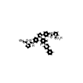 CC(C)(C)OC(=O)N1CCC[C@H]1C(=O)Nc1ccc([C@@H]2CC[C@@H](c3ccc(NC(=O)[C@@H]4CCCN4C(=O)O)cc3)N2c2cc(F)c(N3CCC(c4ccccc4)CC3)c(F)c2)cc1